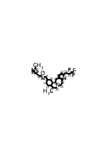 Cc1nnc(CC(=O)/N=C/C2CCC([C@@H](C)CN3CCc4ccc(CCC(F)(F)F)nc4CC3)CC2)s1